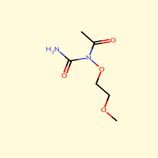 COCCON(C(C)=O)C(N)=O